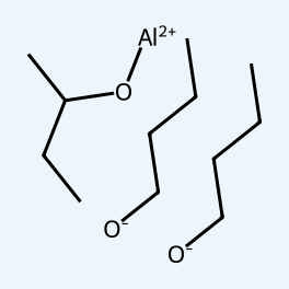 CCC(C)[O][Al+2].CCCC[O-].CCCC[O-]